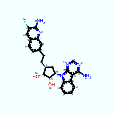 Nc1nc2cc(CC[C@H]3C[C@@H](n4c5ccccc5c5c(N)ncnc54)[C@H](O)[C@@H]3O)ccc2cc1F